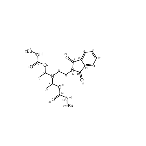 CC(OC(=O)NC(C)(C)C)N(CCN1C(=O)c2ccccc2C1=O)C(C)OC(=O)NC(C)(C)C